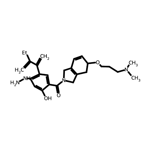 C=C(CC)C(=C)c1cc(C(=O)N2CC3=C(CC(OCCCN(C)C)C=C3)C2)c(O)cc1NN